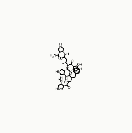 CN[C@H]1CNC[C@@H]1C(=O)NC[C@H](Cc1ccc(O)cc1)C(=O)N[C@H]1CNC[C@@H]1C(=O)N[C@H]1CNC[C@@H]1C(=O)N[C@@H](C)CC(=O)N[C@H]1CNC[C@@H]1C(N)=O